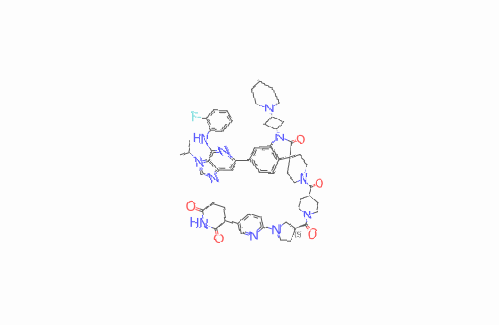 CC(C)n1cnc2cc(-c3ccc4c(c3)N([C@H]3C[C@@H](N5CCCCC5)C3)C(=O)C43CCN(C(=O)C4CCN(C(=O)[C@H]5CCN(c6ccc(C7CCC(=O)NC7=O)cn6)C5)CC4)CC3)nc(Nc3ccccc3F)c21